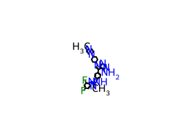 CN1CCN(C2CCC(n3cc(-c4ccc(Nc5nc6c(F)cc(F)cc6n5C)cc4)c4c(N)ncnc43)CC2)CC1